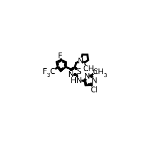 Cc1nc(Cl)cc(Nc2nc(-c3cc(F)cc(C(F)(F)F)c3)c(CN3CCC[C@H]3C)s2)n1